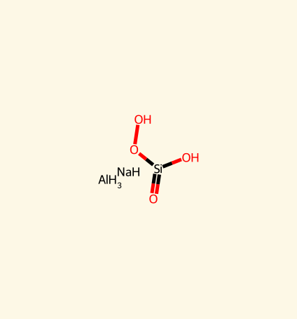 O=[Si](O)OO.[AlH3].[NaH]